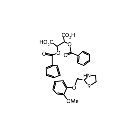 COc1ccccc1OC[C@H]1NCCS1.O=C(OC(C(=O)O)C(OC(=O)c1ccccc1)C(=O)O)c1ccccc1